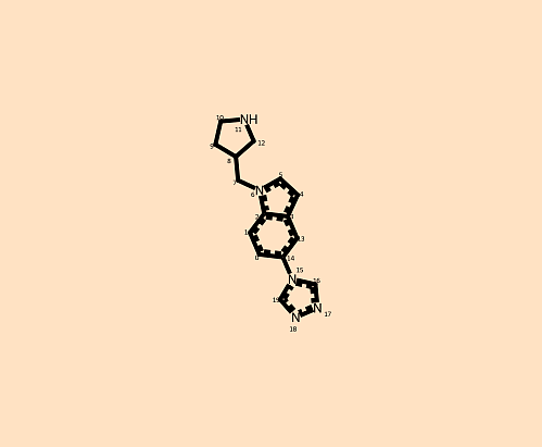 c1cc2c(ccn2CC2CCNC2)cc1-n1cnnc1